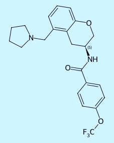 O=C(N[C@@H]1COc2cccc(CN3CCCC3)c2C1)c1ccc(OC(F)(F)F)cc1